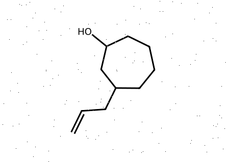 C=CCC1CCCCC(O)C1